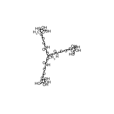 CC1C(O)[C@H](O)C(CO)O[C@@H]1OCCOCCOCCNC(=O)CCOCC(C)(COCCC(=O)NCCOCCOCCO[C@H]1OC(CO)[C@@H](O)C(O)C1O)COCCC(=O)NCCOCCOCCO[C@H]1OC(CO)[C@@H](O)C(O)C1O